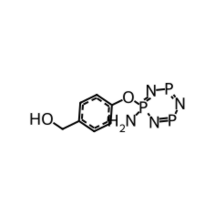 NP1(Oc2ccc(CO)cc2)=NP=NP=N1